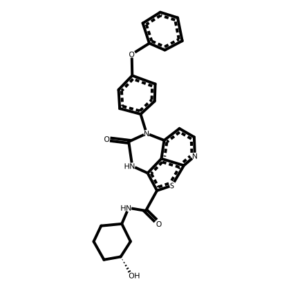 O=C(NC1CCC[C@@H](O)C1)c1sc2nccc3c2c1NC(=O)N3c1ccc(Oc2ccccc2)cc1